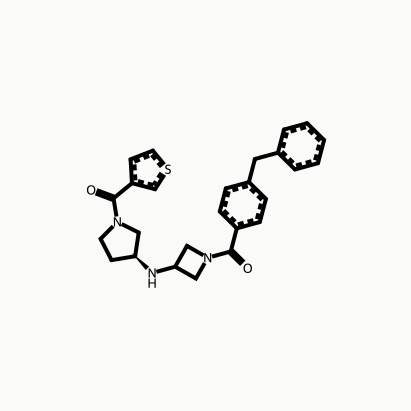 O=C(c1ccc(Cc2ccccc2)cc1)N1CC(N[C@H]2CCN(C(=O)c3ccsc3)C2)C1